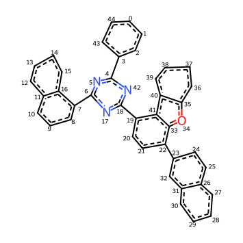 c1ccc(-c2nc(-c3cccc4ccccc34)nc(-c3ccc(-c4ccc5ccccc5c4)c4oc5ccccc5c34)n2)cc1